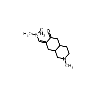 CN(C)C=C1CC2CN(C)CCC2CC1=O